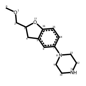 COCC1Cc2cc(N3CCNCC3)ccc2O1